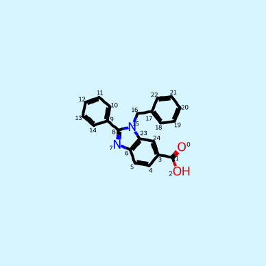 O=C(O)c1ccc2nc(-c3ccccc3)n(Cc3ccccc3)c2c1